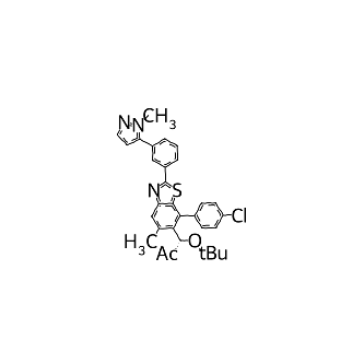 CC(=O)[C@@H](OC(C)(C)C)c1c(C)cc2nc(-c3cccc(-c4ccnn4C)c3)sc2c1-c1ccc(Cl)cc1